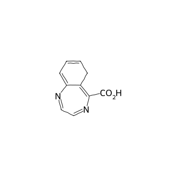 O=C(O)C1=C2CC=CC=C2N=CC=N1